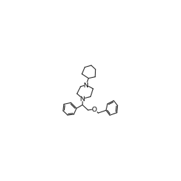 c1ccc(COCC(c2ccccc2)N2CCN(C3CCCCC3)CC2)cc1